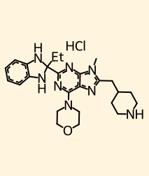 CCC1(c2nc(N3CCOCC3)c3nc(CC4CCNCC4)n(C)c3n2)Nc2ccccc2N1.Cl